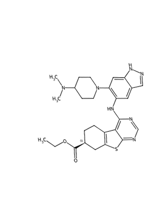 CCOC(=O)[C@H]1CCc2c(sc3ncnc(Nc4cc5cn[nH]c5cc4N4CCC(N(C)C)CC4)c23)C1